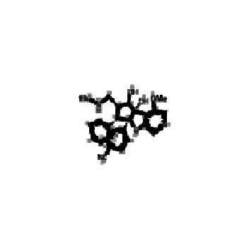 COc1cncc2c1[C@]1(O)[C@H](O)[C@H](CNC(C)(C)C)[C@@H](c3ccccc3)[C@]1(c1ccc(C#N)cc1)O2